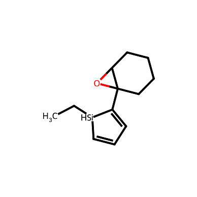 CC[SiH]1C=CC=C1C12CCCCC1O2